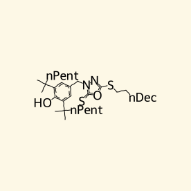 CCCCCCCCCCCCSc1nn(Cc2cc(C(C)(C)CCCCC)c(O)c(C(C)(C)CCCCC)c2)c(=S)o1